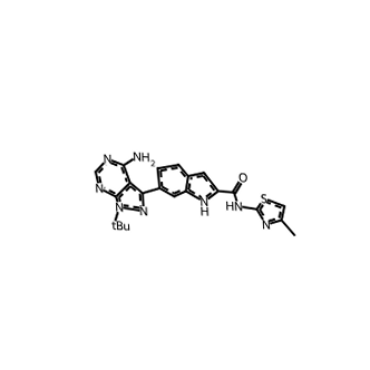 Cc1csc(NC(=O)c2cc3ccc(-c4nn(C(C)(C)C)c5ncnc(N)c45)cc3[nH]2)n1